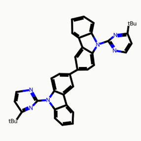 CC(C)(C)c1ccnc(-n2c3ccccc3c3cc(-c4ccc5c(c4)c4ccccc4n5-c4nccc(C(C)(C)C)n4)ccc32)n1